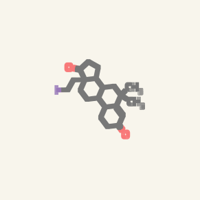 CC1(C)CC2C(CCC3(CCI)C(=O)CCC23)C2CCC(=O)C=C21